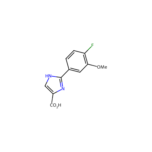 COc1cc(-c2nc(C(=O)O)c[nH]2)ccc1F